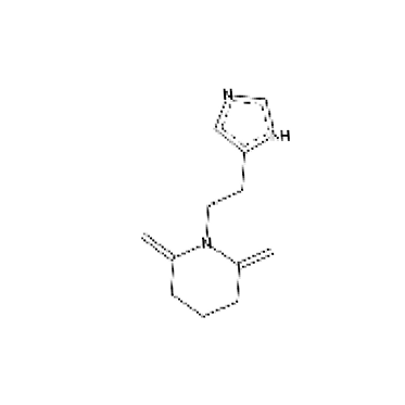 C=C1CCCC(=C)N1CCc1cnc[nH]1